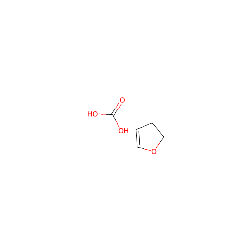 C1=COCC1.O=C(O)O